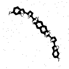 Fc1ccc2cc(-c3ccc(-c4nc5cc6cc7sc(-c8ccc(-c9cc%10ccc(F)cc%10o9)s8)nc7cc6cc5s4)s3)oc2c1